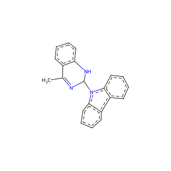 CC1=NC(n2c3ccccc3c3ccccc32)Nc2ccccc21